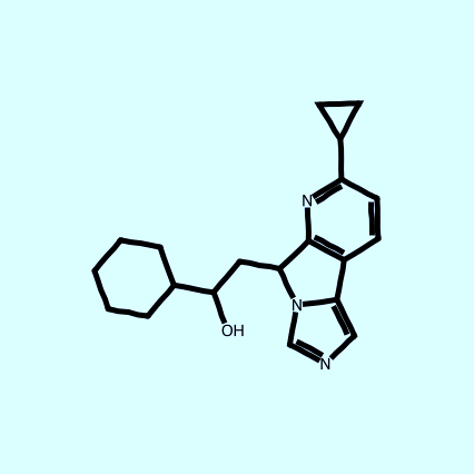 OC(CC1c2nc(C3CC3)ccc2-c2cncn21)C1CCCCC1